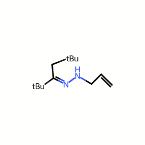 C=CCN/N=C(\CC(C)(C)C)C(C)(C)C